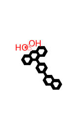 OB(O)c1c2ccccc2c(-c2ccc(-c3ccc4ccccc4c3)cc2)c2ccccc12